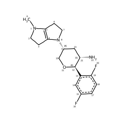 CN1CCC2=C1CCN2[C@H]1CO[C@H](c2cc(F)ccc2F)[C@@H](N)C1